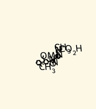 COCc1cc(-c2nc(-c3ccnc(CN(C)CC(=O)O)c3)no2)ccc1-c1ccccc1C